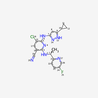 C[C@H](Nc1nc(Nc2cc(C3CC3)[nH]n2)c(Cl)cc1C#N)c1ccc(F)cn1